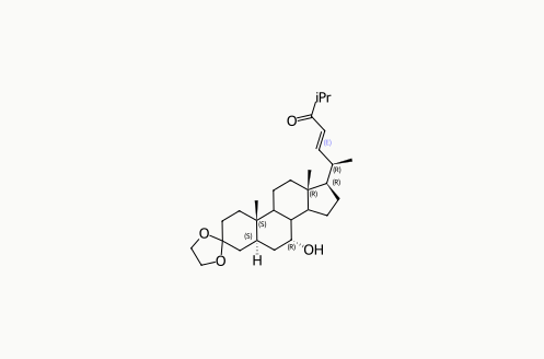 CC(C)C(=O)/C=C/[C@@H](C)[C@H]1CCC2C3C(CC[C@@]21C)[C@@]1(C)CCC2(C[C@@H]1C[C@H]3O)OCCO2